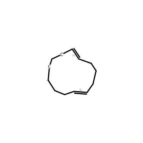 [CH]1CC/C=C/CCC/C=C/CCC1